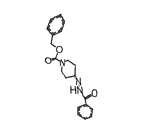 O=C(NN=C1CCN(C(=O)OCc2ccccc2)CC1)c1ccccc1